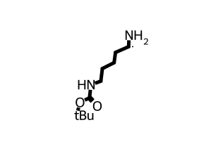 CC(C)(C)OC(=O)NCCCC[CH]N